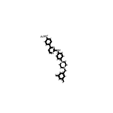 CC(=O)Nc1ccc(-c2ccnc(Nc3ccc(N4CCN(Cc5cc(C)cc(C)c5)CC4)cc3)n2)cc1